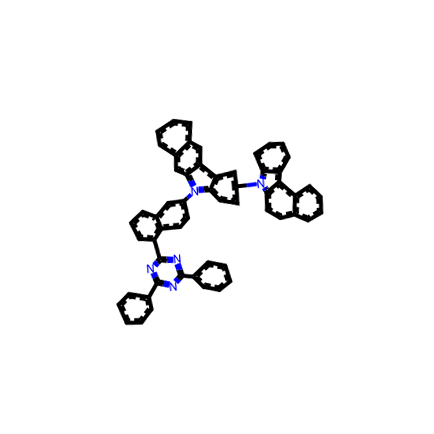 c1ccc(-c2nc(-c3ccccc3)nc(-c3cccc4cc(-n5c6ccc(-n7c8ccccc8c8c9ccccc9ccc87)cc6c6cc7ccccc7cc65)ccc34)n2)cc1